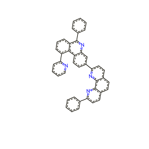 c1ccc(-c2ccc3ccc4ccc(-c5ccc6c(c5)nc(-c5ccccc5)c5cccc(-c7ccccn7)c56)nc4c3n2)cc1